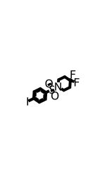 O=S(=O)(c1ccc(I)cc1)N1CCC(F)(F)CC1